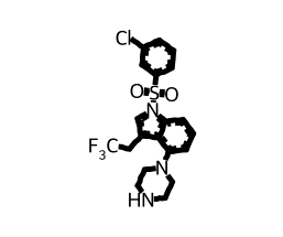 O=S(=O)(c1cccc(Cl)c1)n1cc(CC(F)(F)F)c2c(N3CCNCC3)cccc21